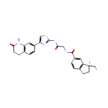 CN1C(=O)CCc2ccc(-c3csc(NC(=O)CNC(=O)c4ccc5c(c4)[C@](C)(CO)CC5)n3)cc21